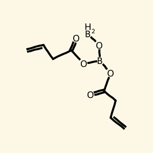 BOB(OC(=O)CC=C)OC(=O)CC=C